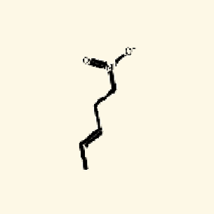 CC=CCC[N+](=O)[O-]